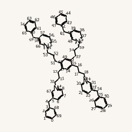 c1ccc(Cc2ccc[n+](CCCc3cc(CCC[n+]4cccc(Cc5ccccc5)c4)c(CCC[n+]4cccc(Cc5ccccc5)c4)cc3CCC[n+]3cccc(Cc4ccccc4)c3)c2)cc1